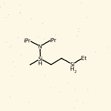 CC[SiH2]CC[SiH](C)N(C(C)C)C(C)C